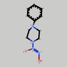 [O-]/[N+](=N\O)N1CCN(c2ccccc2)CC1